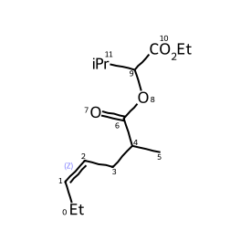 CC/C=C\CC(C)C(=O)OC(C(=O)OCC)C(C)C